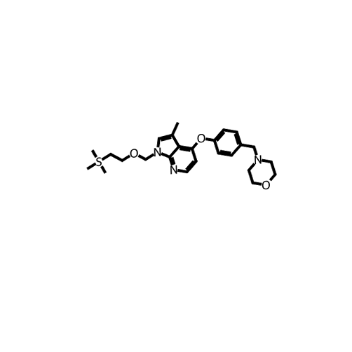 Cc1cn(COCCS(C)(C)C)c2nccc(Oc3ccc(CN4CCOCC4)cc3)c12